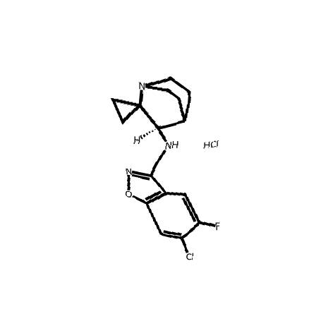 Cl.Fc1cc2c(N[C@@H]3C4CCN(CC4)C34CC4)noc2cc1Cl